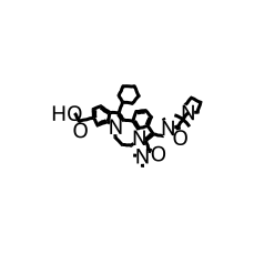 CN(C)C(=O)c1c(CN(C)C(=O)C(C)(C)N2CCCC2)c2cccc3c2n1CCCn1c-3c(C2CCCCC2)c2ccc(C(=O)O)cc21